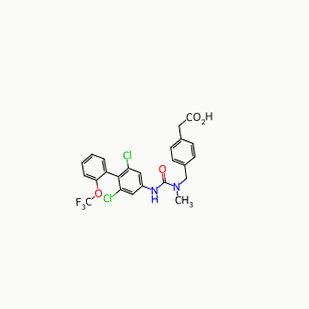 CN(Cc1ccc(CC(=O)O)cc1)C(=O)Nc1cc(Cl)c(-c2ccccc2OC(F)(F)F)c(Cl)c1